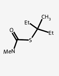 CCC(C)(CC)SC(=O)NC